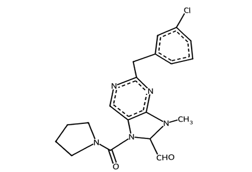 CN1c2nc(Cc3cccc(Cl)c3)ncc2N(C(=O)N2CCCC2)C1C=O